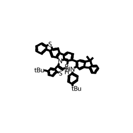 CC(C)(C)c1ccc(Nc2cc3c(cc2-c2ccc4c5cc6sc7ccccc7c6cc5n5c4c2Bc2sc4ccc(C(C)(C)C)cc4c2-5)C(C)(C)c2ccccc2-3)cc1